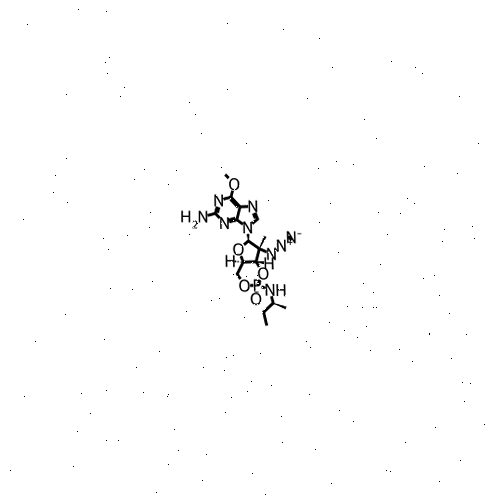 CC[C@H](C)NP1(=O)OC[C@H]2O[C@@H](n3cnc4c(OC)nc(N)nc43)[C@](C)(N=[N+]=[N-])[C@@H]2O1